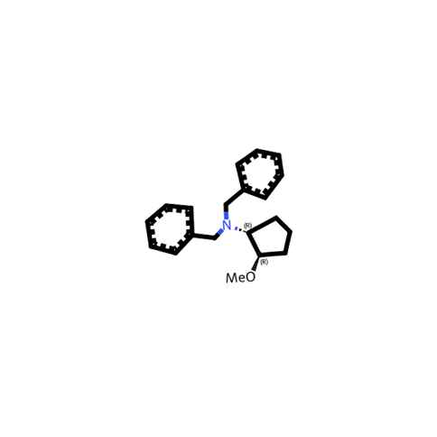 CO[C@@H]1CCC[C@H]1N(Cc1ccccc1)Cc1ccccc1